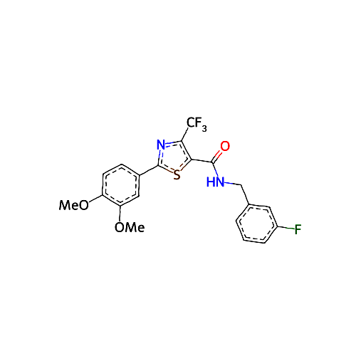 COc1ccc(-c2nc(C(F)(F)F)c(C(=O)NCc3cccc(F)c3)s2)cc1OC